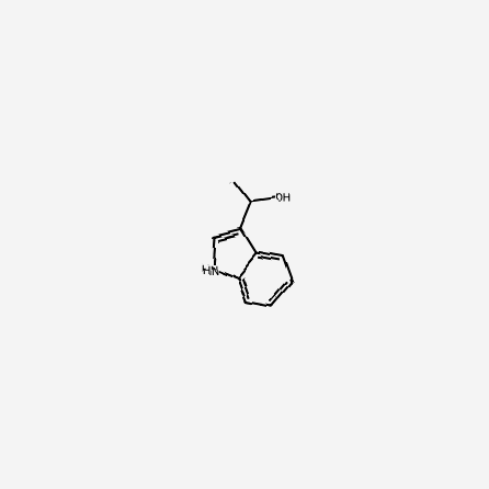 [CH2]C(O)c1c[nH]c2ccccc12